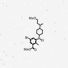 CCN(c1cc(Br)cc(C(=O)OC)c1C)C1CCC(N(C)CCOC)CC1